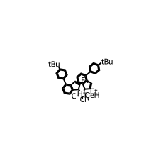 CCC1=Cc2c(-c3ccc(C(C)(C)C)cc3)cccc2[CH]1[Hf]([Cl])([Cl])([CH]1C(CC)=Cc2c(-c3ccc(C(C)(C)C)cc3)cccc21)[GeH]([CH3])[CH3]